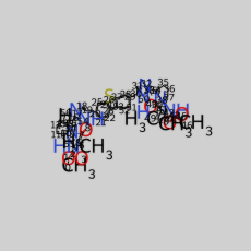 COC(=O)N[C@@H](C)C(=O)N1[C@@H]2CC[C@@H](C2)[C@H]1c1ncc(-c2ccc3c(c2)sc2cc(-c4cnc([C@@H]5CCCN5C(=O)[C@@H](NC(=O)OC)C(C)C)[nH]4)ccc23)[nH]1